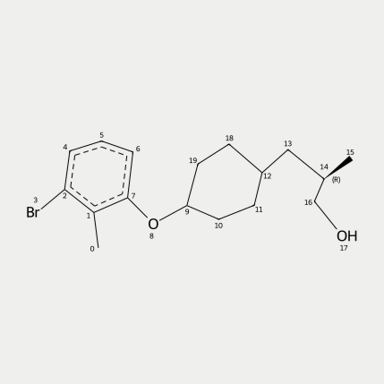 Cc1c(Br)cccc1OC1CCC(C[C@@H](C)CO)CC1